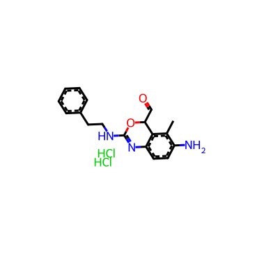 Cc1c(N)ccc2c1C(C=O)OC(NCCc1ccccc1)=N2.Cl.Cl